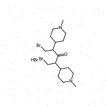 Br.CN1CCC(C(CBr)C(=O)C(CBr)C2CCN(C)CC2)CC1